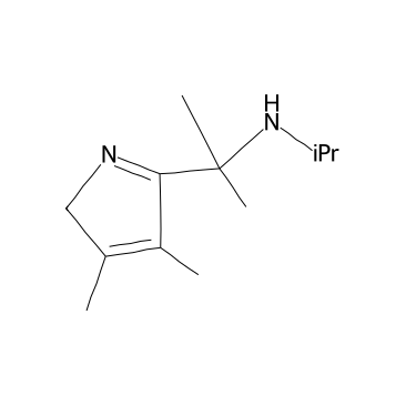 CC1=C(C)C(C(C)(C)NC(C)C)=NC1